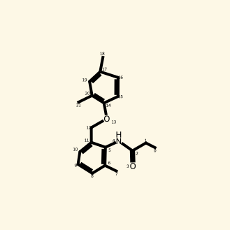 CCC(=O)Nc1c(C)cccc1COc1ccc(C)cc1C